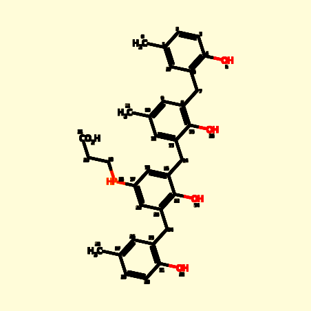 Cc1ccc(O)c(Cc2cc(C)cc(Cc3cc(PCCC(=O)O)cc(Cc4cc(C)ccc4O)c3O)c2O)c1